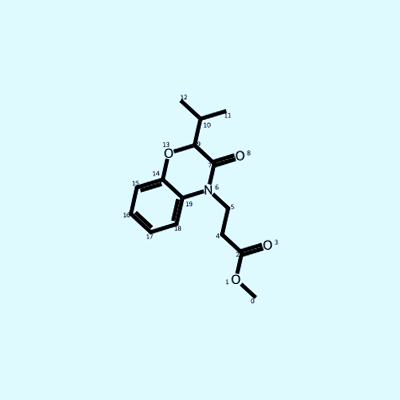 COC(=O)CCN1C(=O)C(C(C)C)Oc2ccccc21